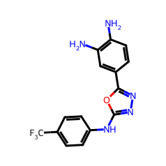 Nc1ccc(-c2nnc(Nc3ccc(C(F)(F)F)cc3)o2)cc1N